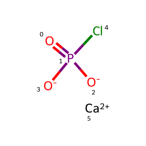 O=P([O-])([O-])Cl.[Ca+2]